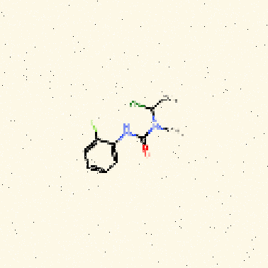 CN(C(=O)Nc1ccccc1F)C(Cl)C(Cl)(Cl)Cl